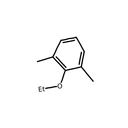 [CH2]COc1c(C)cccc1C